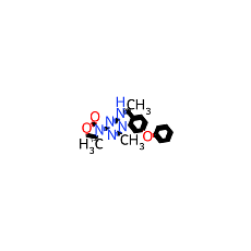 Cc1nc(N[C@@H](C)c2ccc(Oc3ccccc3)cc2)nc(N2C(=O)OC[C@@H]2C)n1